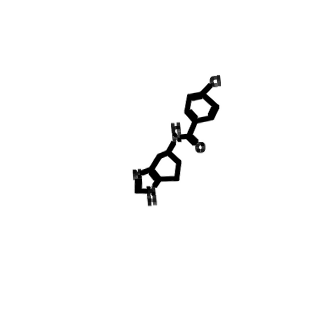 O=C(NC1CCc2[nH]cnc2C1)c1ccc(Cl)cc1